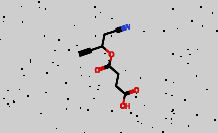 C#CC(CC#N)OC(=O)CCC(=O)O